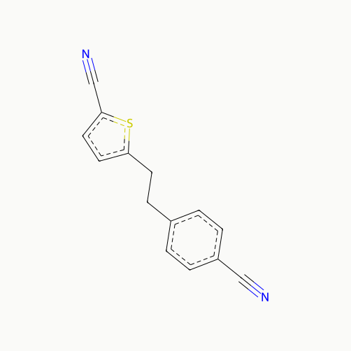 N#Cc1ccc(CCc2ccc(C#N)s2)cc1